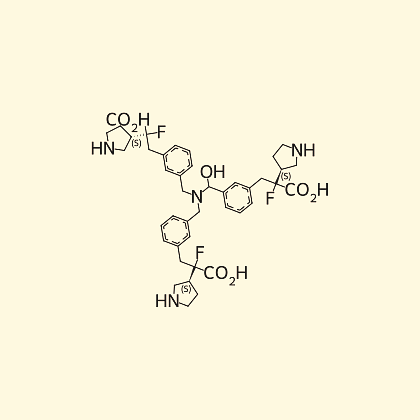 O=C(O)C(F)(Cc1cccc(CN(Cc2cccc(CC(F)(C(=O)O)[C@H]3CCNC3)c2)C(O)c2cccc(CC(F)(C(=O)O)[C@H]3CCNC3)c2)c1)[C@H]1CCNC1